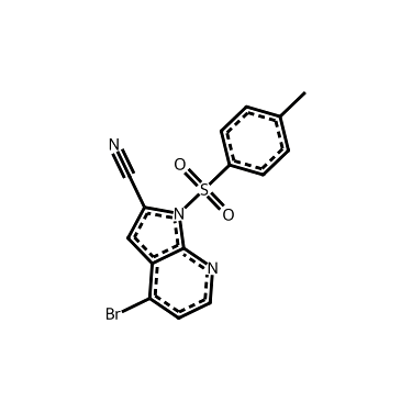 Cc1ccc(S(=O)(=O)n2c(C#N)cc3c(Br)ccnc32)cc1